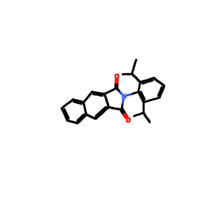 CC(C)c1cccc(C(C)C)c1N1C(=O)c2cc3ccccc3cc2C1=O